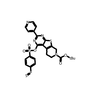 CC(C)(C)OC(=O)N1CCc2c(sc3nc(-c4ccncc4)nc(OS(=O)(=O)c4ccc(P=S)cc4)c23)C1